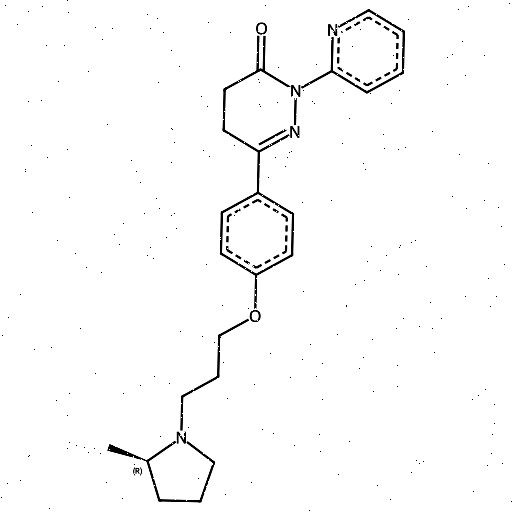 C[C@@H]1CCCN1CCCOc1ccc(C2=NN(c3ccccn3)C(=O)CC2)cc1